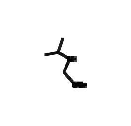 COCNC(C)C